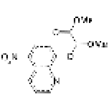 COC(=O)C(OC)Oc1ccc([N+](=O)[O-])c2cccnc12